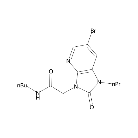 CCCCNC(=O)Cn1c(=O)n(CCC)c2cc(Br)cnc21